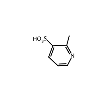 Cc1ncccc1S(=O)(=O)O